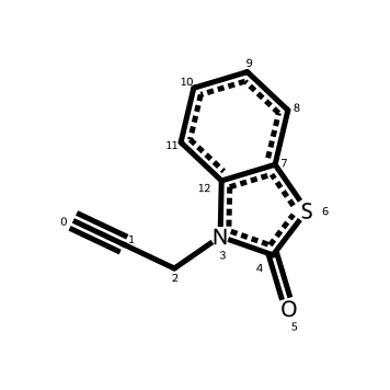 C#CCn1c(=O)sc2ccccc21